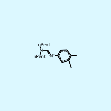 CCCCCN(C=[N+]c1ccc(C)c(C)c1)CCCCC